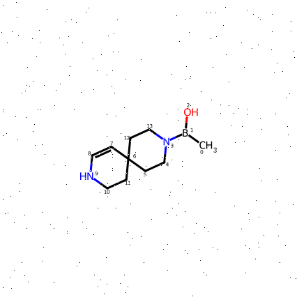 CB(O)N1CCC2(C=CNCC2)CC1